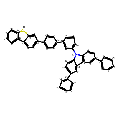 c1ccc(-c2ccc3c(c2)c2cc(-c4ccccc4)ccc2n3-c2cccc(-c3ccc(-c4ccc5c(c4)sc4ccccc45)cc3)c2)cc1